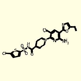 CCc1cnc(-c2cc(Cl)c(N3CCC(C(=O)NS(=O)(=O)c4ccc(Cl)s4)CC3)nc2N)o1